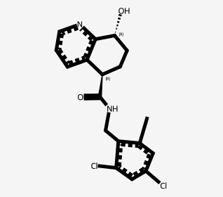 Cc1cc(Cl)cc(Cl)c1CNC(=O)[C@@H]1CC[C@@H](O)c2ncccc21